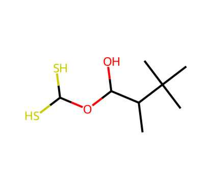 CC(C(O)OC(S)S)C(C)(C)C